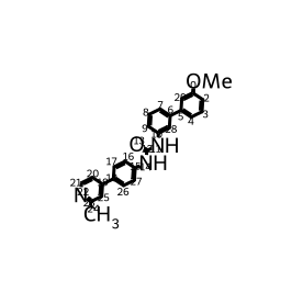 COc1cccc(-c2cccc(NC(=O)Nc3ccc(-c4ccnc(C)c4)cc3)c2)c1